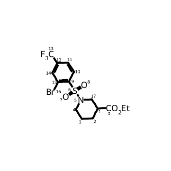 CCOC(=O)C1CCCN(S(=O)(=O)c2ccc(C(F)(F)F)cc2Br)C1